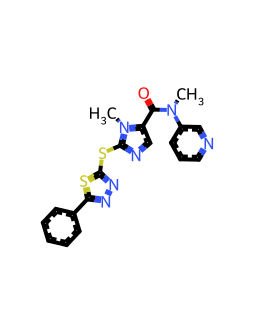 CN(C(=O)c1cnc(Sc2nnc(-c3ccccc3)s2)n1C)c1cccnc1